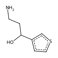 NCCC(O)c1ccsc1